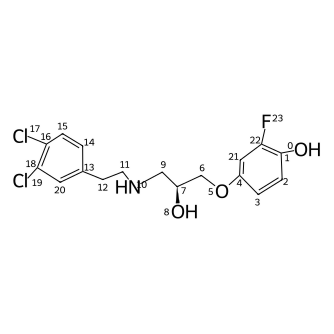 Oc1ccc(OC[C@@H](O)CNCCc2ccc(Cl)c(Cl)c2)cc1F